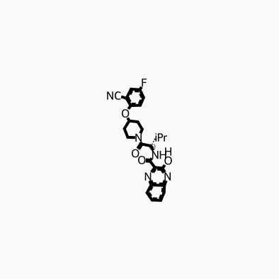 CC(C)[C@H](NC(=O)c1nc2ccccc2nc1O)C(=O)N1CCC(Oc2ccc(F)cc2C#N)CC1